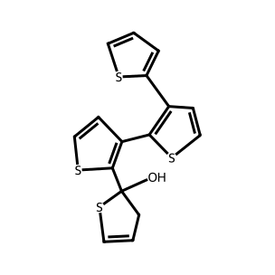 OC1(c2sccc2-c2sccc2-c2cccs2)CC=CS1